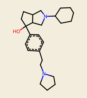 OC1(c2ccc(CCN3CCCC3)cc2)CCC2CN(C3CCCCC3)CC21